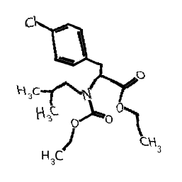 CCOC(=O)C(Cc1ccc(Cl)cc1)N(CC(C)C)C(=O)OCC